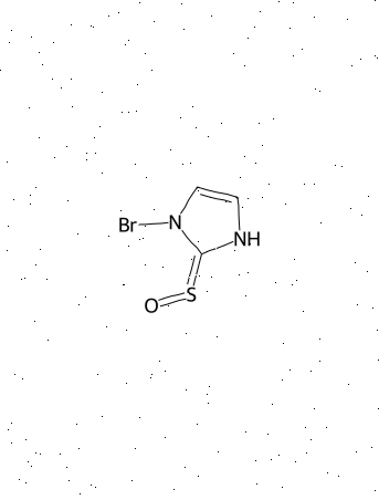 O=S=c1[nH]ccn1Br